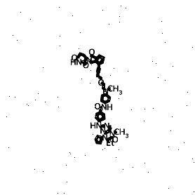 CC[C@@H]1C(=O)N(C)c2cnc(Nc3ccc(C(=O)N[C@H]4CC[C@H](N(C)CCOCCC#Cc5cccc6c5CN(C5CCC(=O)NC5=O)C6=O)CC4)cc3)nc2N1C1CCCC1